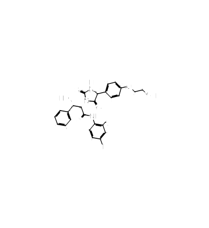 C[C@@H](c1ccccc1)[C@@H](C(=O)Nc1ccc(I)cc1F)N1C(=O)NC(c2ccc(OCCO)cc2)C1=O